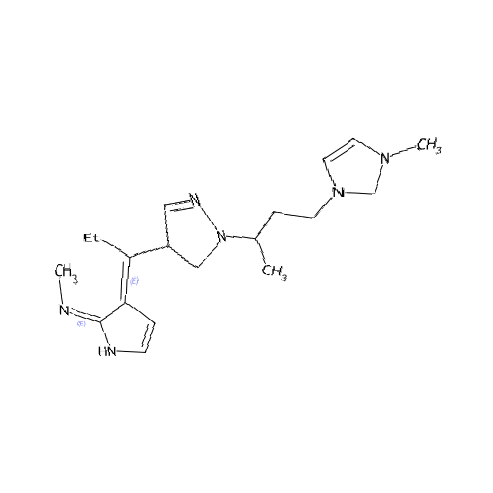 CC/C(=C1/C=CN/C1=N/C)C1C=NN(C(C)CCN2C=CN(C)C2)C1